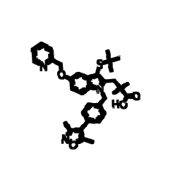 Cc1noc(C)c1-c1ccc(Cn2c(CC(C)(C)C(=O)O)c(SC(C)(C)C)c3cc(OCc4ccccn4)ccc32)cc1